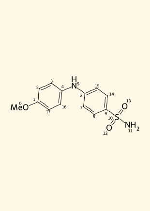 COc1ccc(Nc2ccc(S(N)(=O)=O)cc2)cc1